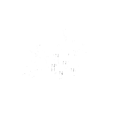 CN(C)C(=N/C(=N\c1cc(C(C)(C)C)cc(C(C)(C)C)c1)Nc1cc(C(C)(C)C)cc(C(C)(C)C)c1)N(C)C